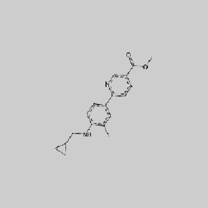 COC(=O)c1ccc(-c2ccc(NCC3CC3)c(C)c2)nc1